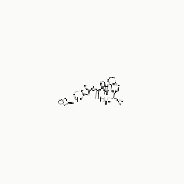 CC(c1ccc2c(c1NC(=O)NSc1cc3c(s1)CCN(CC1COC1)C3)CCC2)C1CC1